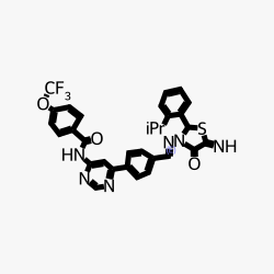 CC(C)c1ccccc1C1SC(=N)C(=O)N1/N=C/c1ccc(-c2cc(NC(=O)c3ccc(OC(F)(F)F)cc3)ncn2)cc1